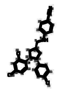 N#Cc1ccc(NC[C@H]2C[C@H](c3ccc(Cl)cc3)[C@H](c3ccc(Cl)cc3Cl)C2)cc1